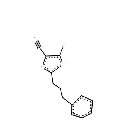 N#Cc1nc(CCCc2ccccc2)oc1Br